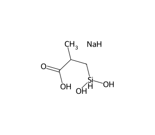 CC(C[SiH](O)O)C(=O)O.[NaH]